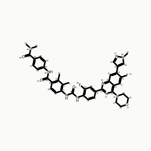 Cc1c(NC(=O)Nc2ccc(-c3nc(N4CCOCC4)c4cc(F)c(-c5cnn(C)c5)cc4n3)cc2F)ccc(C(=O)Nc2ccc(C(=O)N(C)C)cc2)c1C